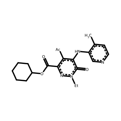 CCn1nc(C(=O)OC2CCCCC2)c(C(C)=O)c(Nc2cnccc2C)c1=O